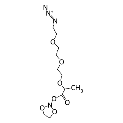 CC(OCCOCCOCCN=[N+]=[N-])C(=O)ON1OCCO1